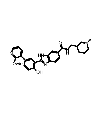 COc1ncccc1-c1ccc(O)c(-c2nc3ccc(C(=O)NCC4CCCN(C)C4)cc3[nH]2)c1